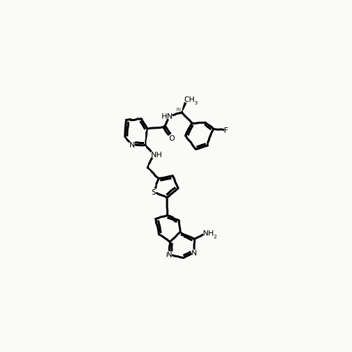 C[C@H](NC(=O)c1cccnc1NCc1ccc(-c2ccc3ncnc(N)c3c2)s1)c1cccc(F)c1